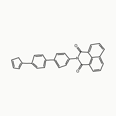 O=C1c2cccc3cccc(c23)C(=O)N1c1ccc(-c2ccc(C3=CC=CC3)cc2)cc1